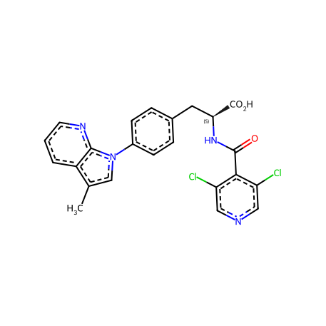 Cc1cn(-c2ccc(C[C@H](NC(=O)c3c(Cl)cncc3Cl)C(=O)O)cc2)c2ncccc12